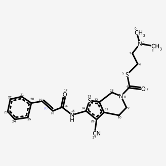 CN(C)CCSC(=O)N1CCc2c(sc(NC(=O)/C=C/c3ccccc3)c2C#N)C1